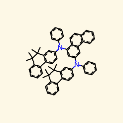 CC1(C)c2ccccc2-c2ccc(N(c3ccccc3)c3cc(N(c4ccccc4)c4ccc5c(c4)C(C)(C)C(C)(C)c4ccccc4-5)c4ccc5ccccc5c4c3)cc2C1(C)C